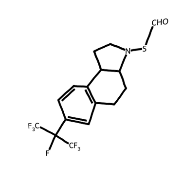 O=CSN1CCC2c3ccc(C(F)(C(F)(F)F)C(F)(F)F)cc3CCC21